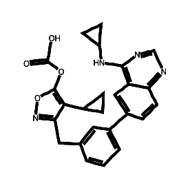 O=C(O)Oc1onc(Cc2cccc(-c3ccc4ncnc(NC5CC5)c4c3)c2)c1C1CC1